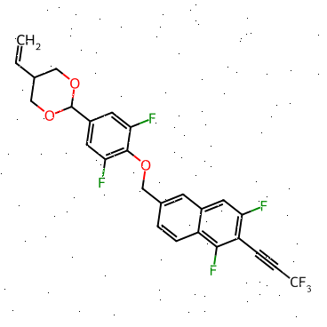 C=CC1COC(c2cc(F)c(OCc3ccc4c(F)c(C#CC(F)(F)F)c(F)cc4c3)c(F)c2)OC1